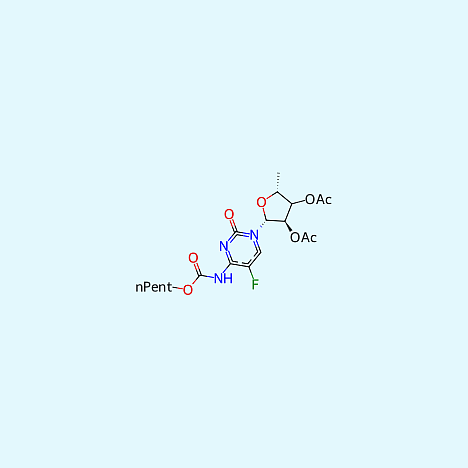 CCCCCOC(=O)Nc1nc(=O)n([C@@H]2O[C@H](C)C(OC(C)=O)[C@H]2OC(C)=O)cc1F